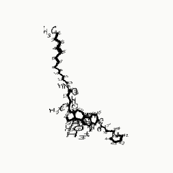 CCCCCCCCCCCCCCNC(=O)CC[C@@H](C)[C@H]1CC[C@H]2[C@@H]3[C@H](O)[C@H](CC)[C@@H]4C[C@H](OC(=O)CCCN5CCCC5)CC[C@]4(C)[C@H]3CC[C@]12C